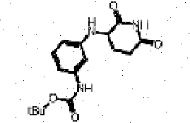 CC(C)(C)OC(=O)Nc1cccc(NC2CCC(=O)NC2=O)c1